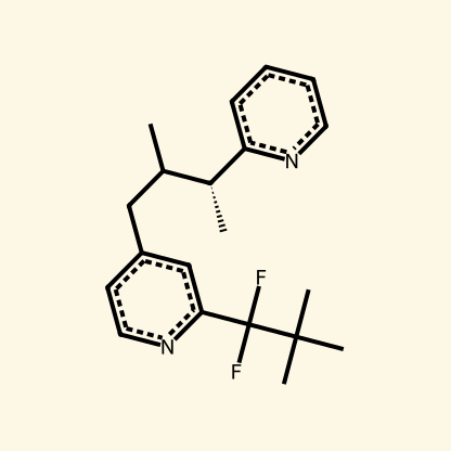 CC(Cc1ccnc(C(F)(F)C(C)(C)C)c1)[C@@H](C)c1ccccn1